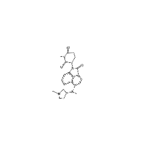 CN1CCC(N(C)c2ccc3c4c(cccc24)N(C2CCC(=O)N(C)C2=O)C3=O)C1